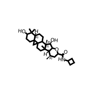 C[C@@H]1CC(C(=O)NC2CCC2)OC2[C@H]1C1(C)CCC34CC35CCC(O)C(C)(C)[C@@H]5CCC4[C@]1(C)[C@H]2O